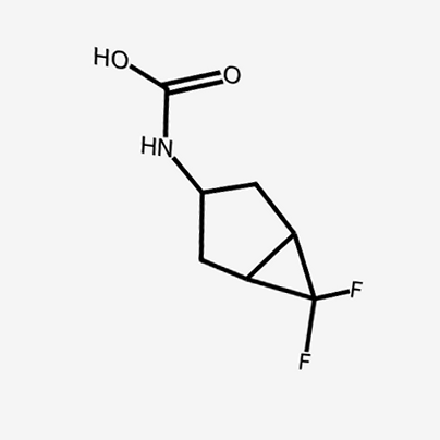 O=C(O)NC1CC2C(C1)C2(F)F